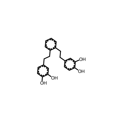 Oc1ccc(CCc2ccccc2CCc2ccc(O)c(O)c2)cc1O